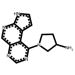 NC1CCN(c2ncnc3cnc4[nH]ccc4c23)C1